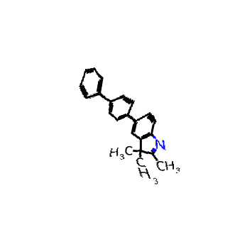 CC1=Nc2ccc(-c3ccc(-c4ccccc4)cc3)cc2C1(C)C